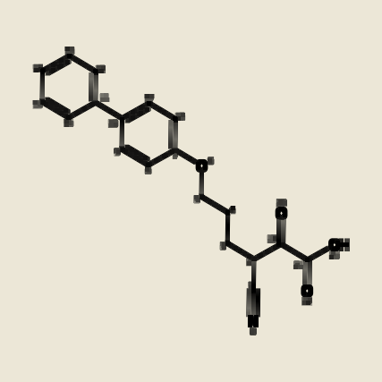 N#CC(CCCOc1ccc(-c2ccccc2)cc1)C(=O)C(=O)O